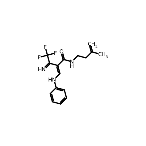 C=C(C)CCNC(=O)/C(=C/Nc1ccccc1)C(=N)C(F)(F)F